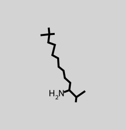 CC(C)C(N)CCCCCCCCC(C)(C)C